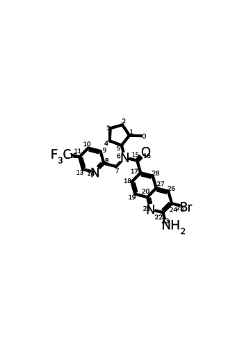 CC1CCCC1N(Cc1ccc(C(F)(F)F)cn1)C(=O)c1ccc2nc(N)c(Br)cc2c1